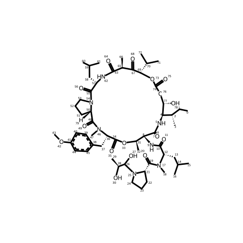 CC[C@H](C)[C@H]1NC(=O)[C@@H](NC(=O)[C@H](CC(C)C)N(C)C(=O)[C@@H]2CCCN2C(O)[C@H](C)O)[C@@H](C)OC(=O)[C@H](Cc2ccc(OC)cc2)N(C)C(=O)[C@@H]2CCCN2C(=O)[C@H](CC(C)C)NC(=O)[C@@H](C)C(=O)[C@H](C(C)C)OC(=O)C[C@@H]1O